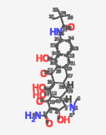 CN(C)[C@@H]1C(O)=C(C(N)=O)C(=O)[C@@]2(O)C(O)=C3C(=O)c4c(cc5ccc(NC(=O)C(C)(C)C)cc5c4O)C[C@H]3C[C@@H]12